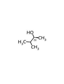 CC(C)[C@H](C)O